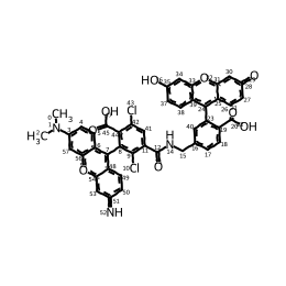 CN(C)c1ccc2c(-c3c(Cl)c(C(=O)NCc4ccc(C(=O)O)c(-c5c6ccc(=O)cc-6oc6cc(O)ccc56)c4)cc(Cl)c3C(=O)O)c3ccc(=N)cc-3oc2c1